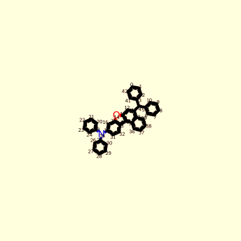 c1ccc(C(c2ccccc2)c2cc3oc4cc(N(c5ccccc5)c5ccccc5)ccc4c3c3ccccc23)cc1